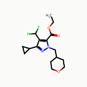 CCOC(=O)c1c(C(F)F)c(C2CC2)nn1CC1CCOCC1